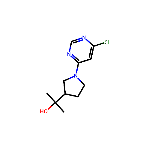 CC(C)(O)C1CCN(c2cc(Cl)ncn2)C1